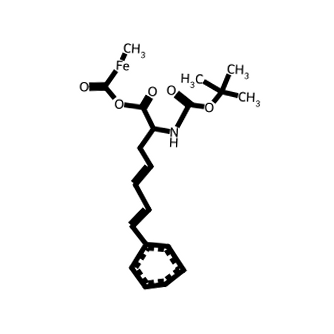 [CH3][Fe][C](=O)OC(=O)C(CC=CC=Cc1ccccc1)NC(=O)OC(C)(C)C